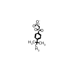 CC(C)(C)c1ccc(S(=O)(=O)C[N+](=O)[O-])cc1